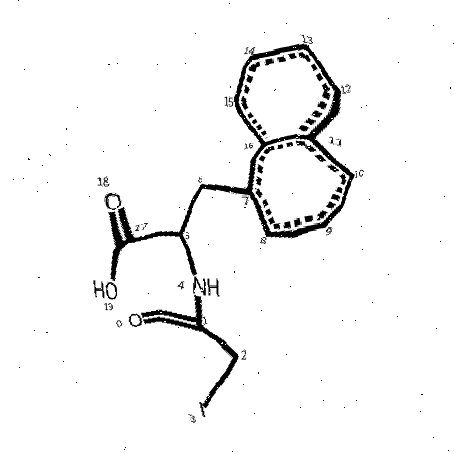 O=C(CI)NC(Cc1cccc2ccccc12)C(=O)O